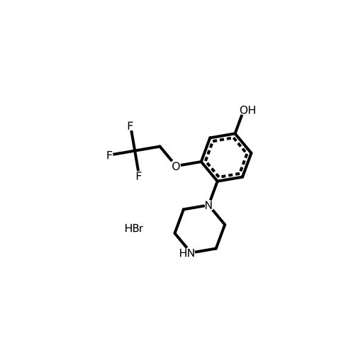 Br.Oc1ccc(N2CCNCC2)c(OCC(F)(F)F)c1